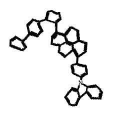 c1ccc(-c2ccc(-c3ccccc3-c3ccc4ccc5c(-c6ccc(-n7c8ccccc8c8ccccc87)cc6)ccc6ccc3c4c65)cc2)cc1